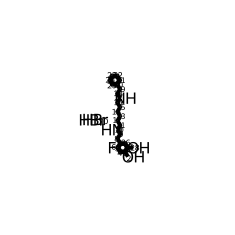 Br.Br.Oc1cc(F)c(CCNCCCCCCNCCc2ccccc2)cc1O